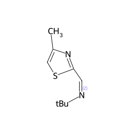 Cc1csc(/C=N\C(C)(C)C)n1